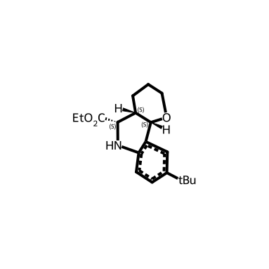 CCOC(=O)[C@H]1Nc2ccc(C(C)(C)C)cc2[C@H]2OCCC[C@@H]12